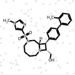 Cc1ccccc1-c1ccc([C@@H]2[C@H]3CN(S(=O)(=O)c4cn(C)cn4)CCCCN3[C@H]2CO)cc1